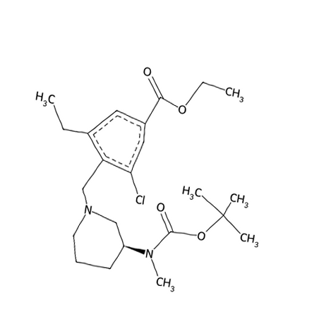 CCOC(=O)c1cc(Cl)c(CN2CCC[C@H](N(C)C(=O)OC(C)(C)C)C2)c(CC)c1